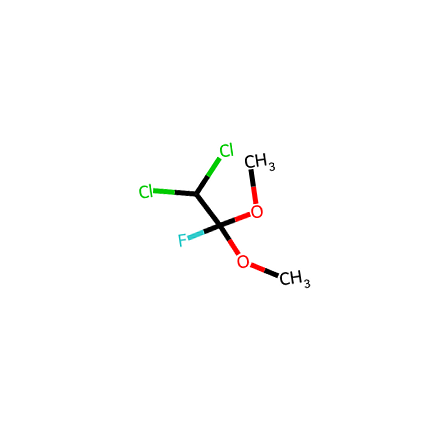 COC(F)(OC)C(Cl)Cl